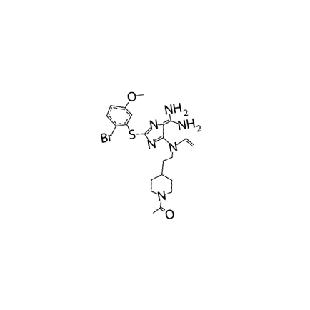 C=CN(CCC1CCN(C(C)=O)CC1)C1=NC(Sc2cc(OC)ccc2Br)=NC1=C(N)N